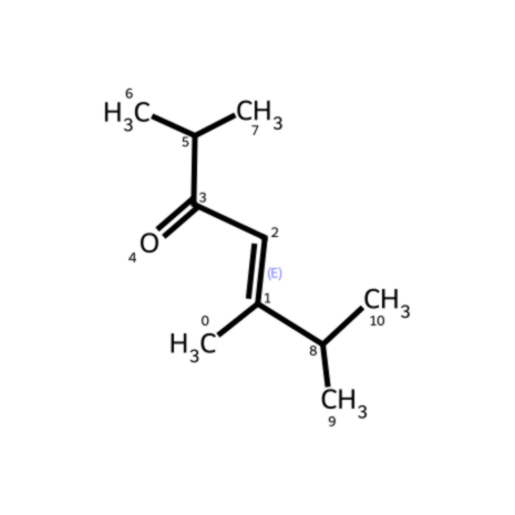 C/C(=C\C(=O)C(C)C)C(C)C